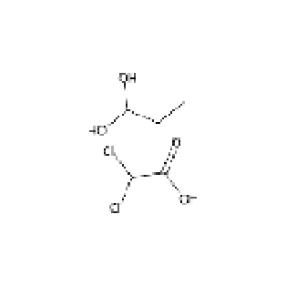 CCC(O)O.O=C(O)C(Cl)Cl